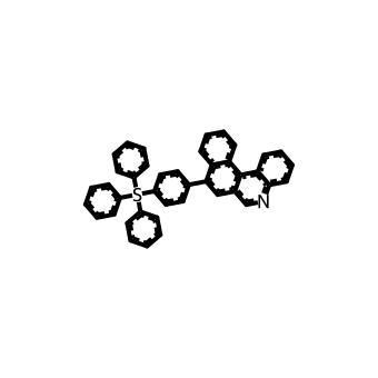 c1ccc(S(c2ccccc2)(c2ccccc2)c2ccc(-c3cc4cnc5ccccc5c4c4ccccc34)cc2)cc1